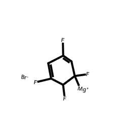 FC1=C[C](F)([Mg+])C(F)C(F)=C1.[Br-]